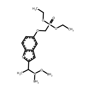 BON(B)C(C)c1cc2cc(OCP(=O)(OCC)OCC)ccc2s1